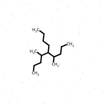 [CH2]C(CCC)C(CCCC)C(C)CCC